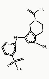 CC(=O)N1CCc2c(c(Nc3cccc(S(C)(=O)=O)c3)nn2C)C1